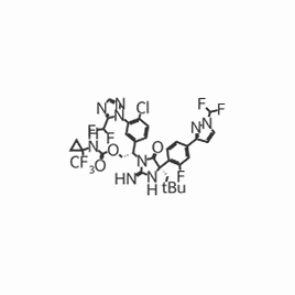 CC(C)(C)C[C@]1(c2ccc(-c3ccn(C(F)F)n3)cc2F)NC(=N)N([C@H](COC(=O)NC2(C(F)(F)F)CC2)c2ccc(Cl)c(-n3ncnc3C(F)F)c2)C1=O